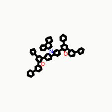 C1=CCCC(c2ccc3oc4c(-c5ccc6c7ccc(-c8cc(-c9ccccc9)cc9c8oc8ccc(-c%10ccccc%10)cc89)cc7n(-c7cc8ccccc8c8ccccc78)c6c5)cc(-c5ccccc5)cc4c3c2)=C1